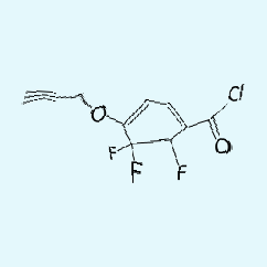 C#CCOC1=CC=C(C(=O)Cl)C(F)C1(F)F